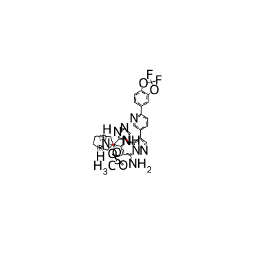 CS(=O)(=O)c1c(C2C[C@H]3CC[C@@H](C2)N3C(=O)c2nnc[nH]2)nc2c(-c3ccc(-c4ccc5c(c4)OC(F)(F)O5)nc3)cnn2c1N